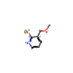 COCc1cccnc1Br